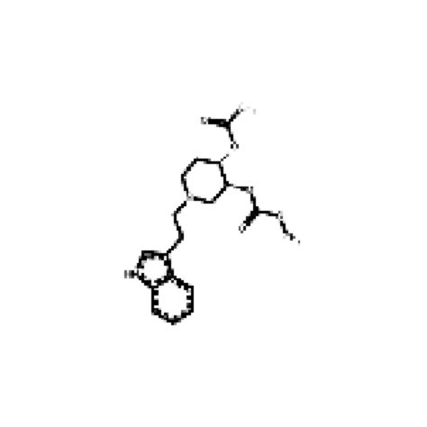 COC(=O)O[C@H]1CN(CCc2c[nH]c3ccccc23)CC[C@@H]1OC(C)=O